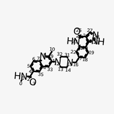 CNC(=O)c1ccc2nc(C)c(N3CCN(Cc4ccc5c(c4)[nH]c(=O)c4cn[nH]c45)CC3)cc2c1